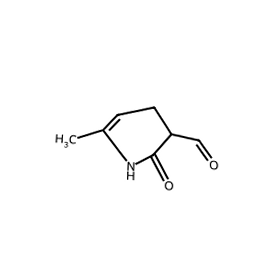 CC1=CCC(C=O)C(=O)N1